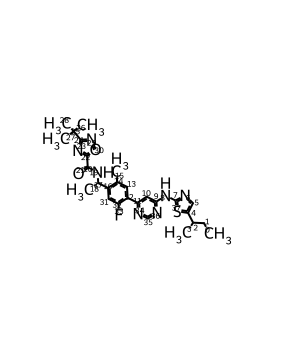 CCC(C)c1cnc(Nc2cc(-c3cc(C)c([C@@H](C)NC(=O)c4nc(C(C)(C)C)no4)cc3F)ncn2)s1